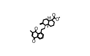 C=C1CC[C@@H]2[C@](C)(CCC[C@]2(C)C(=O)OC)[C@H]1CCc1cccc2c1C(=O)C(C)=CC2=O